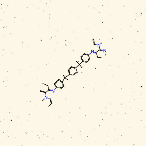 C=CN(C)C(=N/C)/C(CC)=N/c1ccc(C(C)(C)C2=C=C=C(C(C)(C)c3ccc(/N=C(\CC)C(=C)N(C)/C=C\C)cc3)C=C2)cc1